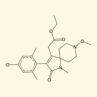 CCOC(=O)CC1=C(c2c(C)cc(Cl)cc2C)C(=O)N(C)C12CCN(OC)CC2